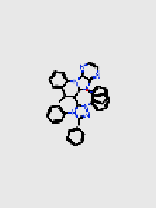 Cc1ccccc1N1N=C(c2ccccc2)N(c2ccccc2)C1C1C(C)c2ccccc2N2c3nccnc3N(c3ccccc3)C12